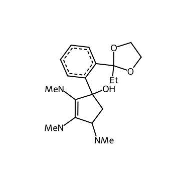 CCC1(c2ccccc2C2(O)CC(NC)C(NC)=C2NC)OCCO1